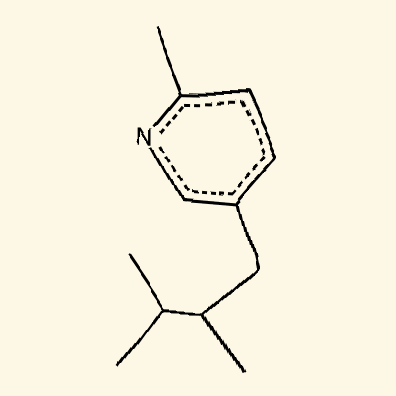 Cc1ccc(CC(C)C(C)C)cn1